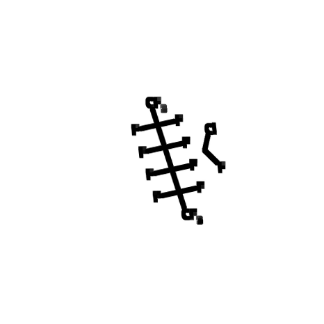 FC(F)(F)C(F)(F)C(F)(F)C(F)(F)C(F)(F)C(F)(F)F.FCCl